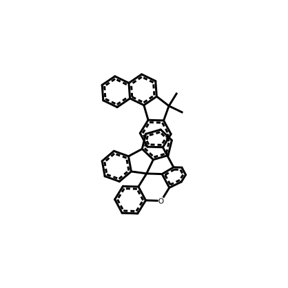 CC1(C)c2cc(-c3cccc4c3C3(c5ccccc5O4)c4ccccc4-c4ccccc43)ccc2-c2c1ccc1ccccc21